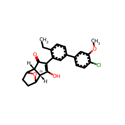 CCc1ccc(-c2ccc(Cl)c(OC)c2)cc1C1=C(O)[C@@H]2C3CCC(O3)[C@@H]2C1=O